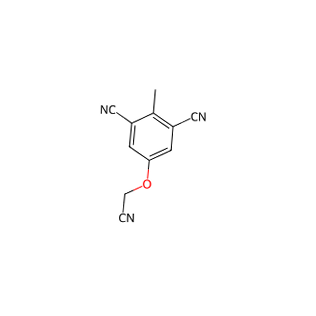 Cc1c(C#N)cc(OCC#N)cc1C#N